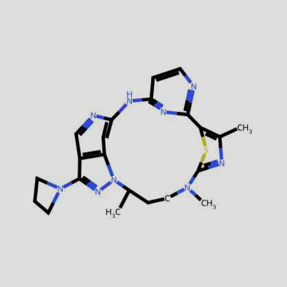 Cc1nc2sc1-c1nccc(n1)Nc1cc3c(cn1)c(N1CCC1)nn3C(C)CCN2C